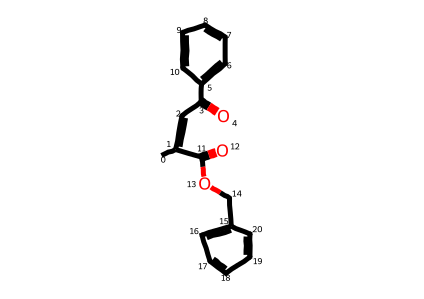 CC(=CC(=O)c1ccccc1)C(=O)OCc1ccccc1